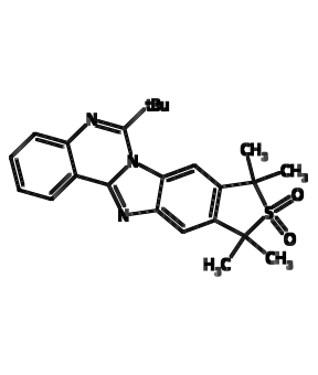 CC(C)(C)c1nc2ccccc2c2nc3cc4c(cc3n12)C(C)(C)S(=O)(=O)C4(C)C